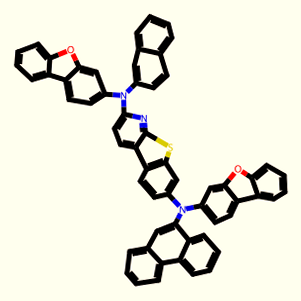 c1ccc2cc(N(c3ccc4c(c3)oc3ccccc34)c3ccc4c(n3)sc3cc(N(c5ccc6c(c5)oc5ccccc56)c5cc6ccccc6c6ccccc56)ccc34)ccc2c1